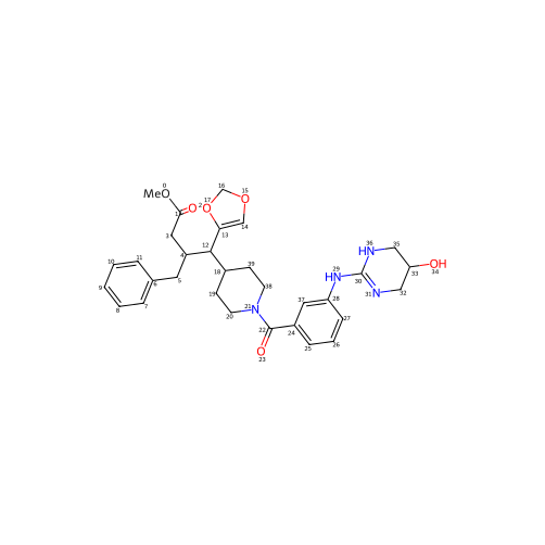 COC(=O)CC(Cc1ccccc1)C(C1=COCO1)C1CCN(C(=O)c2cccc(NC3=NCC(O)CN3)c2)CC1